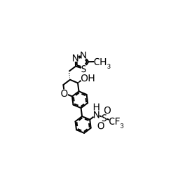 Cc1nnc(C[C@H]2COc3cc(-c4ccccc4NS(=O)(=O)C(F)(F)F)ccc3[C@@H]2O)s1